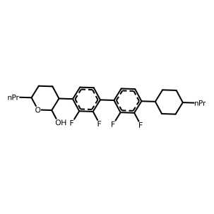 CCCC1CCC(c2ccc(-c3ccc(C4CCC(CCC)OC4O)c(F)c3F)c(F)c2F)CC1